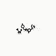 COC[C@@H](c1cc(F)c2oc([C@@H](NC(=O)c3nonc3C3CC3)C3CCC(F)(F)CC3)nc2c1)N1C[C@@H](C(F)(F)F)NC1=O